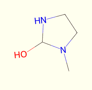 CN1CCNC1O